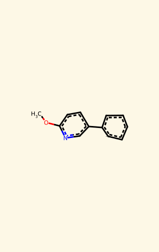 COc1ccc(-c2[c]cccc2)cn1